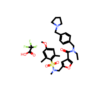 CCN(Cc1ccc(CN2CCCC2)cc1)C(=O)c1coc(CN(C)S(=O)(=O)c2c(C)cc(OC)cc2C)c1.O=C(O)C(F)(F)F